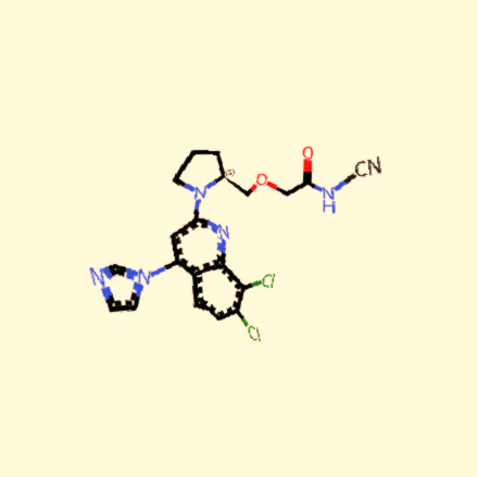 N#CNC(=O)COC[C@@H]1CCCN1c1cc(-n2ccnc2)c2ccc(Cl)c(Cl)c2n1